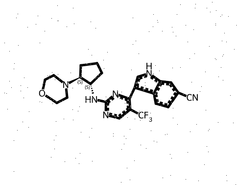 N#Cc1ccc2c(-c3nc(N[C@H]4CCC[C@@H]4N4CCOCC4)ncc3C(F)(F)F)c[nH]c2c1